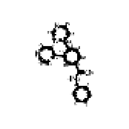 O=C(Nc1ccccc1)c1ccc(-c2ccncn2)c(-c2ccncn2)c1